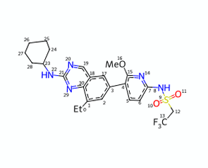 CCc1cc(-c2ccc(NS(=O)(=O)CC(F)(F)F)nc2OC)cc2cnc(NC3CCCCC3)nc12